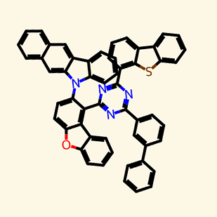 c1ccc(-c2cccc(-c3nc(-c4cccc5c4sc4ccccc45)nc(-c4c(-n5c6ccccc6c6cc7ccccc7cc65)ccc5oc6ccccc6c45)n3)c2)cc1